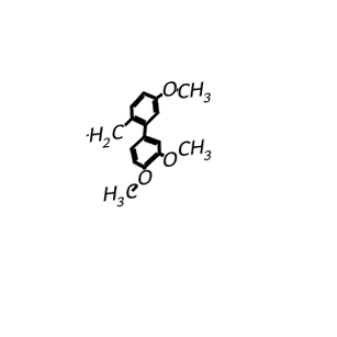 [CH2]c1ccc(OC)cc1-c1ccc(OC)c(OC)c1